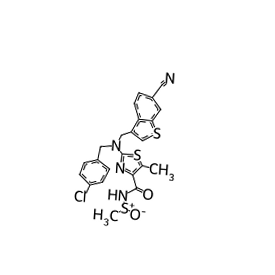 Cc1sc(N(Cc2ccc(Cl)cc2)Cc2csc3cc(C#N)ccc23)nc1C(=O)N[S+](C)[O-]